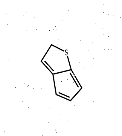 [C]1=C2SCC=C2C=C1